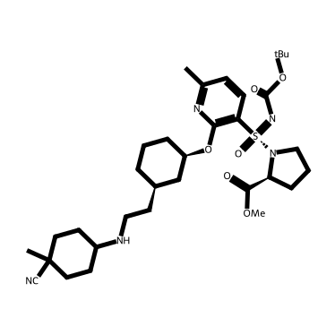 COC(=O)[C@@H]1CCCN1[S@@](=O)(=NC(=O)OC(C)(C)C)c1ccc(C)nc1O[C@@H]1CCC[C@H](CCNC2CCC(C)(C#N)CC2)C1